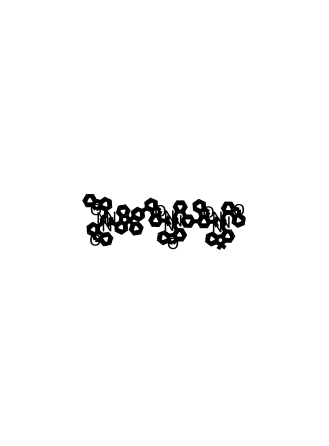 CC1(C)c2ccccc2-c2c(-c3nc(-c4ccc(-c5cccc(-c6ccccc6-c6nc(-c7cccc8c7oc7cccc(-c9ccc(C%10(c%11ccccc%11)c%11ccccc%11-c%11c(-c%12nc(-c%13cccc%14c%13oc%13ccccc%13%14)nc(-c%13cccc%14oc%15ccccc%15c%13%14)n%12)cccc%11%10)cc9)c78)nc(-c7cccc8oc9ccccc9c78)n6)c5)c5c4oc4ccccc45)nc(-c4cccc5oc6ccccc6c45)n3)cccc21